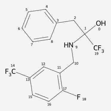 OC(Cc1ccccc1)(NCc1cc(C(F)(F)F)ccc1F)C(F)(F)F